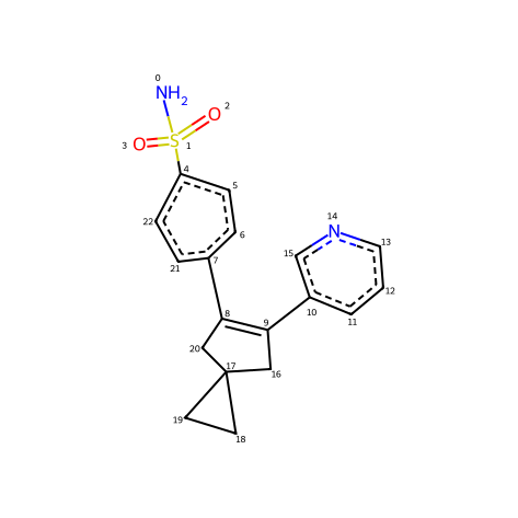 NS(=O)(=O)c1ccc(C2=C(c3cccnc3)CC3(CC3)C2)cc1